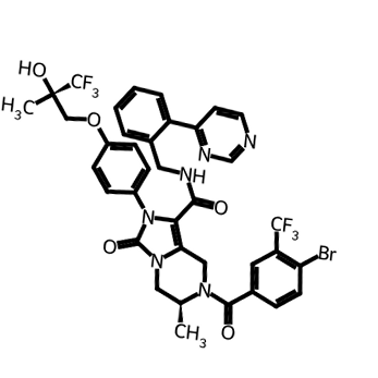 C[C@H]1Cn2c(c(C(=O)NCc3ccccc3-c3ccncn3)n(-c3ccc(OC[C@](C)(O)C(F)(F)F)cc3)c2=O)CN1C(=O)c1ccc(Br)c(C(F)(F)F)c1